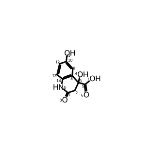 O=C1CC(O)(C(=O)O)c2cc(O)ccc2N1